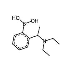 CCN(CC)C(C)c1ccccc1B(O)O